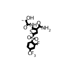 C[C@H](O)C(=O)Nc1sc(S(=O)(=O)c2ccc(C(F)(F)F)cc2F)cc1C(N)=O